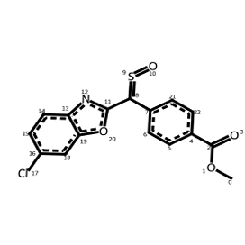 COC(=O)c1ccc(C(=S=O)c2nc3ccc(Cl)cc3o2)cc1